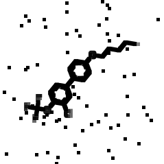 [CH2]CCCCOc1ccc(-c2ccc(OC(F)(F)F)c(Cl)c2)cc1